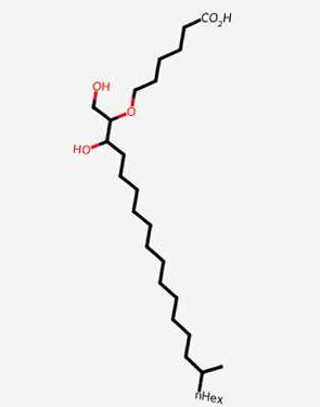 CCCCCCC(C)CCCCCCCCCCCCC(O)C(CO)OCCCCCC(=O)O